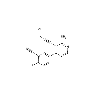 N#Cc1cc(-c2ccnc(N)c2C#CCO)ccc1F